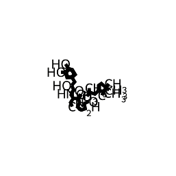 CC(CC1CCC(C)(C)C1(C)C)OC(=O)C1CCCN1C(=O)C(CC(=O)O)NC(=O)C(O)Cc1ccc(O)c(O)c1